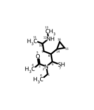 CCN(C(C)=O)C(S)C(CC(C)NC)C1CC1